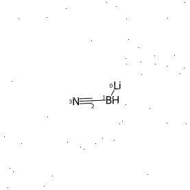 [Li][BH]C#N